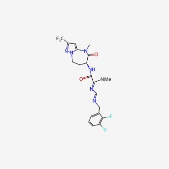 CN/C(=N\C=N\Cc1cccc(F)c1F)C(=O)N[C@H]1CCn2nc(C(F)(F)F)cc2N(C)C1=O